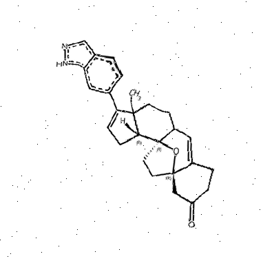 CC12CCC3C=C4CCC(=O)C[C@]45CC[C@]3(O5)[C@@H]1CC=C2c1ccc2cn[nH]c2c1